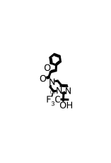 C[C@H]1CN(C(=O)c2cc3ccccc3o2)Cc2cnc(C(C)(O)C(F)(F)F)n21